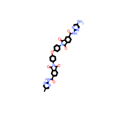 Cc1cnc(NC(=O)c2ccc3c(c2)C(=O)N(c2ccc(Oc4ccc(N5C(=O)c6ccc(C(=O)Nc7ncc(N)cn7)cc6C5=O)cc4)cc2)C3=O)nc1